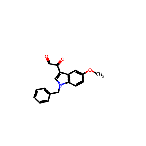 COc1ccc2c(c1)c(C(=O)C=O)cn2Cc1ccccc1